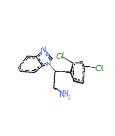 NCC(c1ccc(Cl)cc1Cl)n1cnc2ccccc21